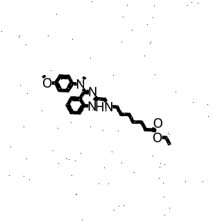 CCOC(=O)CCCCCCNCc1nc(N(C)c2ccc(OC)cc2)c2ccccc2n1